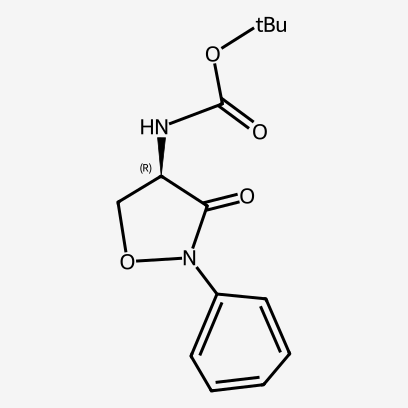 CC(C)(C)OC(=O)N[C@@H]1CON(c2ccccc2)C1=O